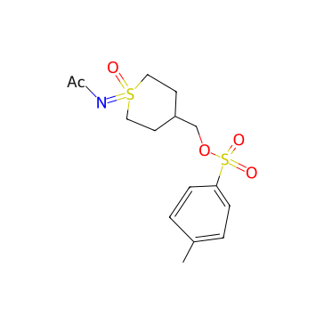 CC(=O)N=S1(=O)CCC(COS(=O)(=O)c2ccc(C)cc2)CC1